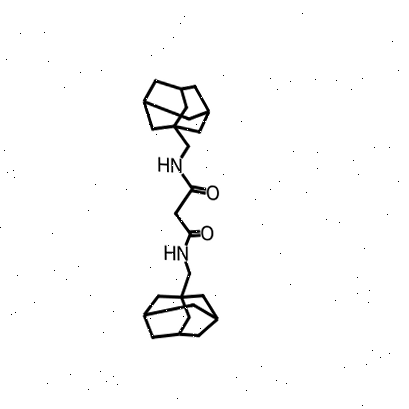 O=C(CC(=O)NCC12CC3CC(CC(C3)C1)C2)NCC12CC3CC(CC(C3)C1)C2